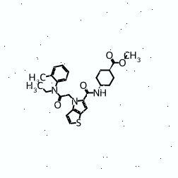 CCN(C(=O)Cn1c(C(=O)N[C@H]2CC[C@H](C(=O)OC)CC2)cc2sccc21)c1ccccc1C